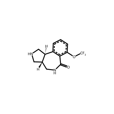 O=C1NC[C@@H]2CNC[C@H]2c2cccc(OC(F)(F)F)c21